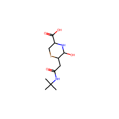 CC(C)(C)NC(=O)CC1SCC(C(=O)O)NC1O